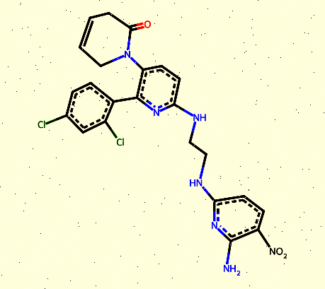 Nc1nc(NCCNc2ccc(N3CC=CCC3=O)c(-c3ccc(Cl)cc3Cl)n2)ccc1[N+](=O)[O-]